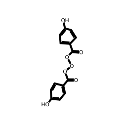 O=C(OOOC(=O)c1ccc(O)cc1)c1ccc(O)cc1